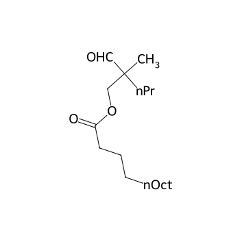 CCCCCCCCCCCC(=O)OCC(C)(C=O)CCC